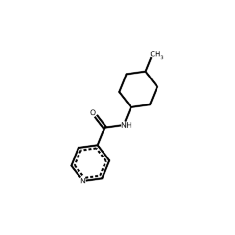 CC1CCC(NC(=O)c2ccncc2)CC1